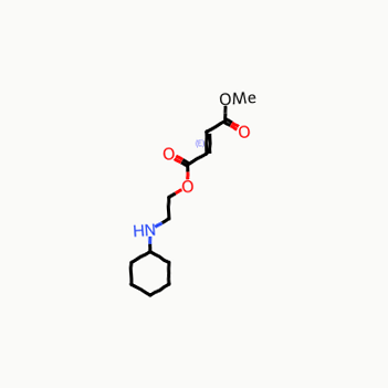 COC(=O)/C=C/C(=O)OCCNC1CCCCC1